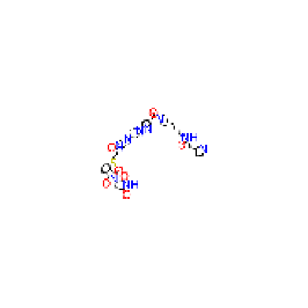 O=C(/C=C/c1cccnc1)NCCCCC1CCN(C(=O)c2ccc(N3CCC(N4CCN(C(=O)CCSc5cccc6c5C(=O)N(C5CCC(=O)NC5=O)C6=O)CC4)CC3)nc2)CC1